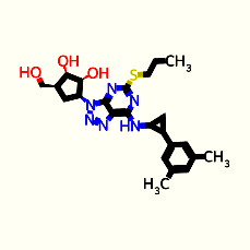 CCCSc1nc(NC2CC2c2cc(C)cc(C)c2)c2nnn([C@H]3C[C@@H](CO)[C@H](O)[C@@H]3O)c2n1